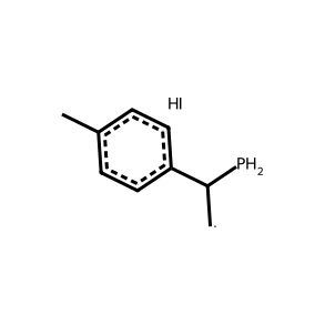 I.[CH2]C(P)c1ccc(C)cc1